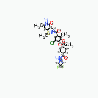 CSc1cc(C)[nH]c(=O)c1CNC(=O)c1cc(Cl)c2c(c1C)O[C@@](C)([C@H]1CC[C@H](C(=O)NN3CC(F)(F)C3)CC1)O2